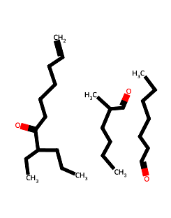 C=CCCCCC(=O)C(CC)CCC.CCCCC(C)C=O.CCCCCCC=O